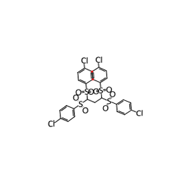 O=S(=O)(c1ccc(Cl)cc1)C(CC(S(=O)(=O)c1ccc(Cl)cc1)S(=O)(=O)c1ccc(Cl)cc1)S(=O)(=O)c1ccc(Cl)cc1